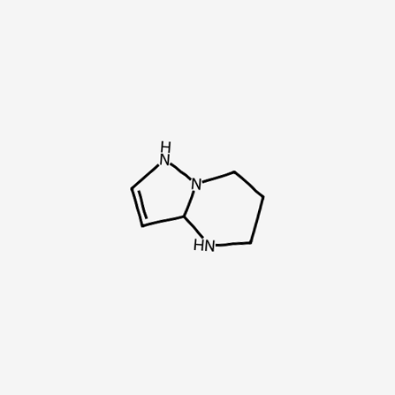 C1=CC2NCCCN2N1